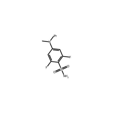 CC(C)N(C)c1cc(F)c(S(N)(=O)=O)c(F)c1